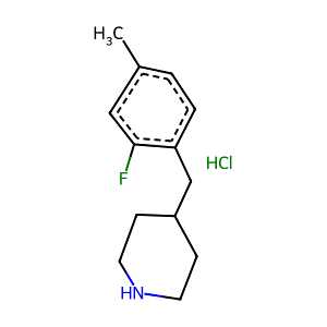 Cc1ccc(CC2CCNCC2)c(F)c1.Cl